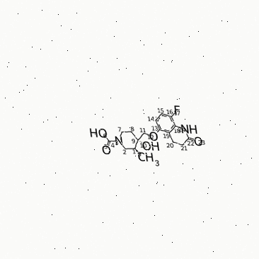 C[C@H]1CN(C(=O)O)CC[C@@]1(O)COc1ccc(F)c2c1CCC(=O)N2